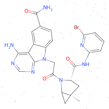 C[C@]12CC1N(C(=O)Cn1c3ccc(C(N)=O)cc3c3c(N)ncnc31)[C@H](C(=O)Nc1cccc(Br)n1)C2